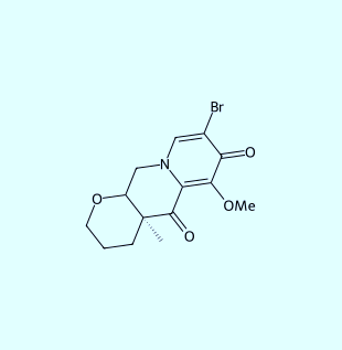 COc1c2n(cc(Br)c1=O)CC1OCCC[C@]1(C)C2=O